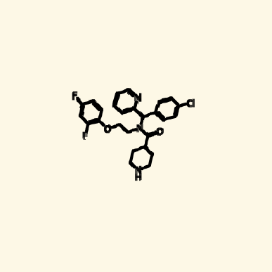 O=C(C1CCNCC1)N(CCOc1ccc(F)cc1F)C(c1ccc(Cl)cc1)c1ccccn1